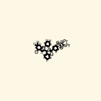 CCCN(CCC)S(=O)(=O)c1ccc(C(=O)OC(c2ccccc2)c2cc3c(n2-c2ccccc2)CC(C)(C)CC3=O)cc1